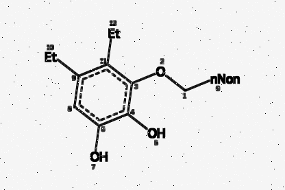 CCCCCCCCCCOc1c(O)c(O)cc(CC)c1CC